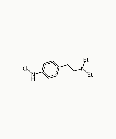 CCN(CC)CCc1ccc(NCl)cc1